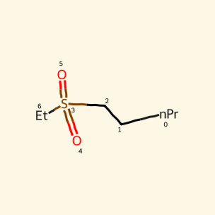 CCCCCS(=O)(=O)CC